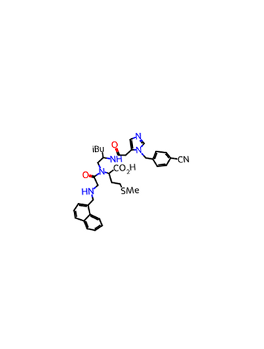 CCC(C)C(CN(C(=O)CNCc1cccc2ccccc12)C(CCSC)C(=O)O)NC(=O)Cc1cncn1Cc1ccc(C#N)cc1